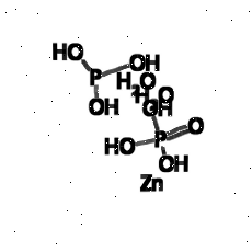 O.O.O=P(O)(O)O.OP(O)O.[Zn]